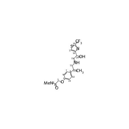 CNC(=O)COc1ccc(C(C)CNCC(O)c2csc(C(F)(F)F)n2)cc1